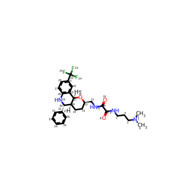 CN(C)CCCNC(=O)C(=O)NC[C@H]1CC[C@@H]2[C@H](O1)c1cc(C(F)(F)F)ccc1N[C@H]2c1ccccc1